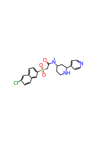 CN(C(=O)CS(=O)(=O)c1ccc2cc(Cl)ccc2c1)C1CCNC(c2ccncc2)C1